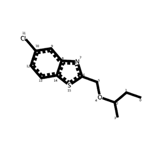 CCC(C)OCc1nc2cc(Cl)ccc2s1